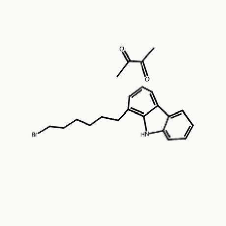 BrCCCCCCc1cccc2c1[nH]c1ccccc12.CC(=O)C(C)=O